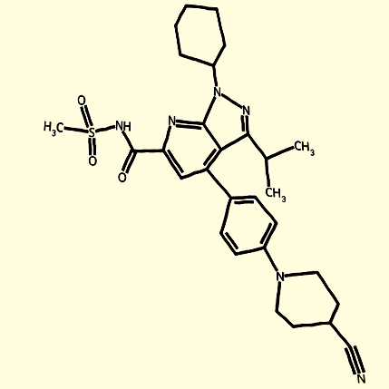 CC(C)c1nn(C2CCCCC2)c2nc(C(=O)NS(C)(=O)=O)cc(-c3ccc(N4CCC(C#N)CC4)cc3)c12